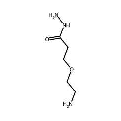 NCCOCCC(=O)NN